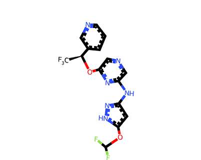 FC(F)Oc1cc(Nc2cncc(O[C@H](c3cccnc3)C(F)(F)F)n2)n[nH]1